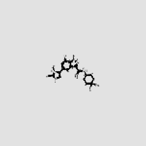 Cc1ncc(-c2cc(F)c3[nH]nc(C(=O)NC4CCC(F)(F)CC4)c3c2)n1C